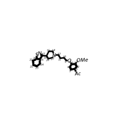 COc1cc(C(C)=O)ccc1OCCCCN1CCC(c2nsc3ccccc23)CC1